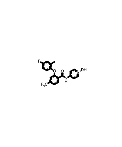 Cc1cc(F)ccc1Oc1cc(C(F)(F)F)ccc1C(=O)Nc1cc[n+](O)cc1